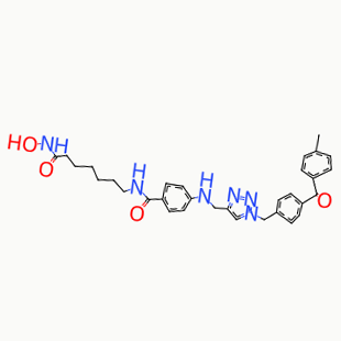 Cc1ccc(C(=O)c2ccc(Cn3cc(CNc4ccc(C(=O)NCCCCCCC(=O)NO)cc4)nn3)cc2)cc1